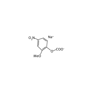 COc1cc([N+](=O)[O-])ccc1OC(=O)[O-].[Na+]